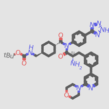 CC(C)(C)OC(=O)NC[C@H]1CC[C@H](C(=O)N(C(=O)[C@@H](N)Cc2cccc(-c3ccnc(N4CCOCC4)c3)c2)c2ccc(-c3nn[nH]n3)cc2)CC1